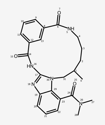 CC1CCCNC(=O)c2cccc(c2)C(=O)Nc2nc3cccc(C(=O)N(C)C)c3n2C1